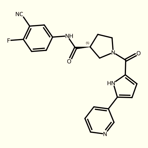 N#Cc1cc(NC(=O)[C@H]2CCN(C(=O)c3ccc(-c4cccnc4)[nH]3)C2)ccc1F